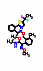 CNC(=O)/C(=N/OC)c1cccc(C)c1CO/N=C(\C)c1ccccc1-c1ncc(C(C)(F)I)s1